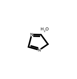 C1=NC=NC1.O